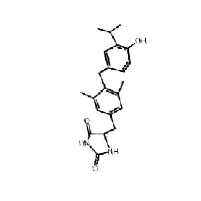 Cc1cc(CC2NC(=O)NC2=O)cc(C)c1Cc1ccc(O)c(C(C)C)c1